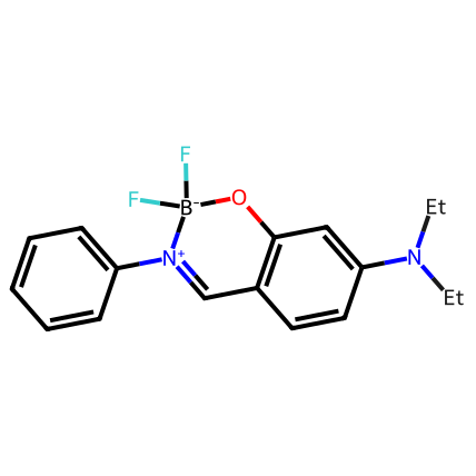 CCN(CC)c1ccc2c(c1)O[B-](F)(F)[N+](c1ccccc1)=C2